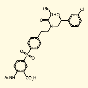 CC(=O)Nc1ccc(S(=O)(=O)c2ccc(CCN(C[C@@H](O)c3cccc(Cl)c3)C(=O)OC(C)(C)C)cc2)cc1C(=O)O